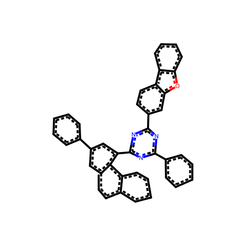 c1ccc(-c2cc(-c3nc(-c4ccccc4)nc(-c4ccc5c(c4)oc4ccccc45)n3)c3c(ccc4ccccc43)c2)cc1